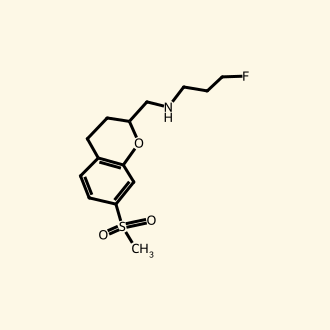 CS(=O)(=O)c1ccc2c(c1)OC(CNCCCF)CC2